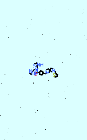 O=C(c1ccc(CN2CCC3(CCN(Cc4cccs4)C3)C2)cc1)N(Cc1ncc[nH]1)Cc1ncc[nH]1